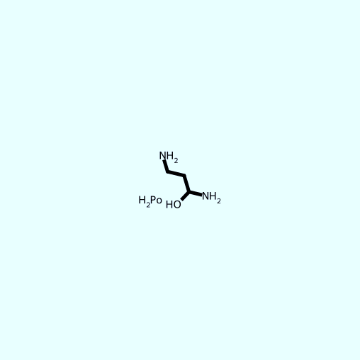 NCCC(N)O.[PoH2]